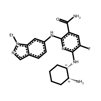 CCn1ncc2ccc(Nc3nc(N[C@H]4CCCC[C@H]4N)c(F)cc3C(N)=O)cc21